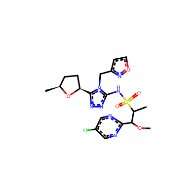 COC(c1ncc(Cl)cn1)C(C)S(=O)(=O)Nc1nnc([C@@H]2CC[C@H](C)O2)n1Cc1ccon1